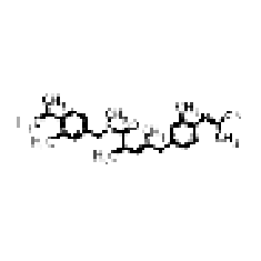 C=C(/C=C(\C)Cc1ccc(/N=C(\C)C#N)c(C)c1)C(=O)N(C)Cc1ccc(C(=C)C)c(C)c1